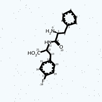 N[C@@H](Cc1ccccc1)C(=O)NC(Cc1ccc(F)cc1)C(=O)O